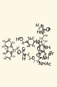 CC(=O)N[C@@H](COCCNC(=O)OCC1c2ccccc2-c2ccccc21)C(=O)N[C@H](C(=O)N[C@@H](CCCNC(N)=O)C(=O)Nc1ccc(CO)cc1)C(C)C